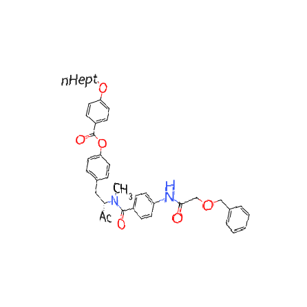 CCCCCCCOc1ccc(C(=O)Oc2ccc(C[C@@H](C(C)=O)N(C)C(=O)c3ccc(NC(=O)COCc4ccccc4)cc3)cc2)cc1